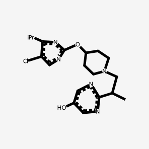 CC(C)c1nc(OC2CCN(CC(C)c3ncc(O)cn3)CC2)ncc1Cl